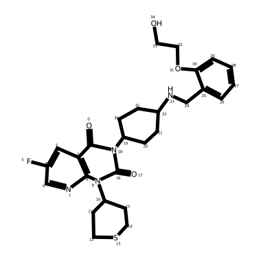 O=c1c2cc(F)cnc2n(C2CCSCC2)c(=O)n1C1CCC(NCc2ccccc2OCCO)CC1